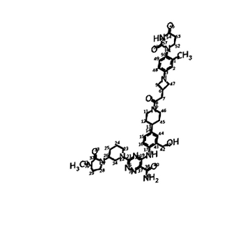 Cc1cc(N2CC(CC(=O)N3CCC(c4ccc(Nc5nc(N6CCCC(N7CCN(C)C7=O)C6)nnc5C(N)=O)c(CO)c4)CC3)C2)ccc1N1CCC(=O)NC1=O